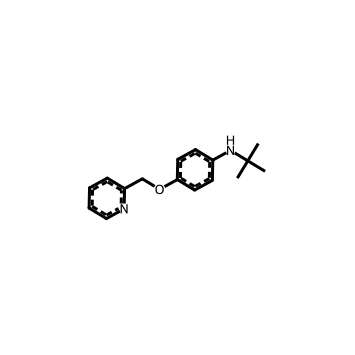 CC(C)(C)Nc1ccc(OCc2ccccn2)cc1